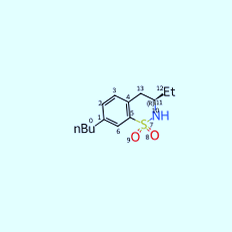 CCCCc1ccc2c(c1)S(=O)(=O)N[C@H](CC)C2